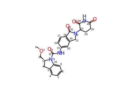 COC[C@@H]1Cc2ccccc2N1C(=O)Nc1ccc2c(c1)CN(C1CCC(=O)NC1=O)C2=O